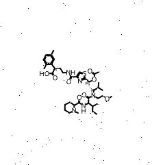 CCC(C)C(NC(=O)C1CCCCN1C)C(=O)N(CCOC)[C@H](C[C@@H](OC(C)=O)c1nc(C(=O)NCC[C@@H](C(=O)O)c2cc(C)ccc2C)cs1)C(C)C